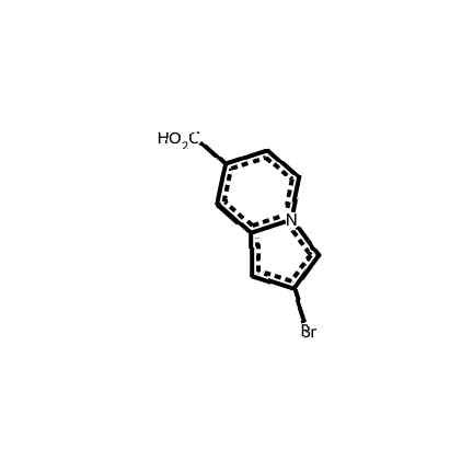 O=C(O)c1ccn2cc(Br)cc2c1